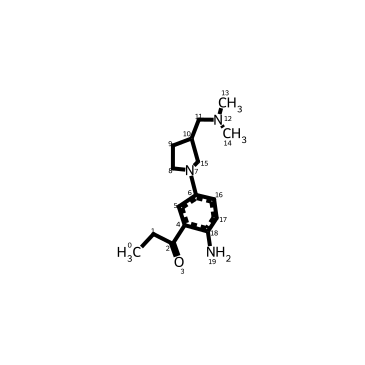 CCC(=O)c1cc(N2CCC(CN(C)C)C2)ccc1N